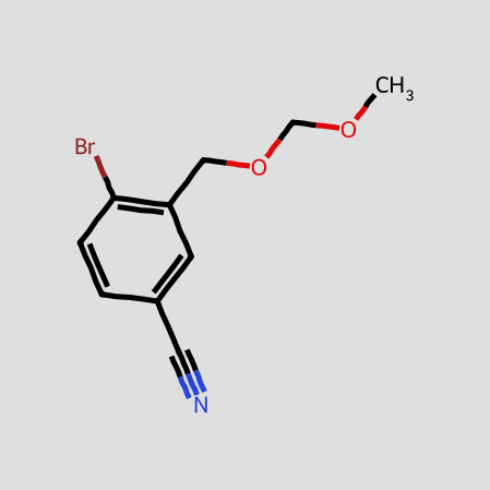 COCOCc1cc(C#N)ccc1Br